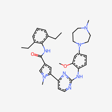 CCc1cccc(CC)c1NC(=O)c1cc(-c2ccnc(Nc3ccc(N4CCCN(C)CC4)cc3OC)n2)n(C)c1